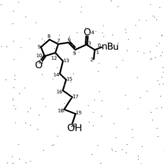 CCCCC(C)C(=O)C=CC1CCC(=O)C1CCCCCCCO